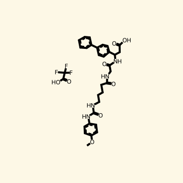 COc1ccc(NC(=O)NCCCCC(=O)NCC(=O)NC(CC(=O)O)c2ccc(-c3ccccc3)cc2)cc1.O=C(O)C(F)(F)F